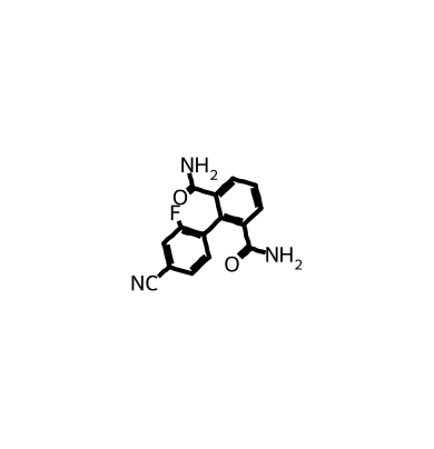 N#Cc1ccc(-c2c(C(N)=O)cccc2C(N)=O)c(F)c1